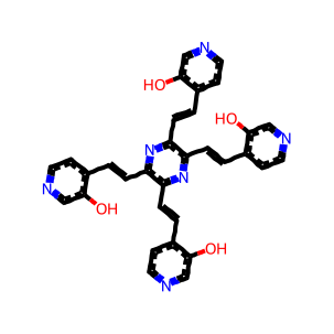 Oc1cnccc1C=Cc1nc(C=Cc2ccncc2O)c(C=Cc2ccncc2O)nc1C=Cc1ccncc1O